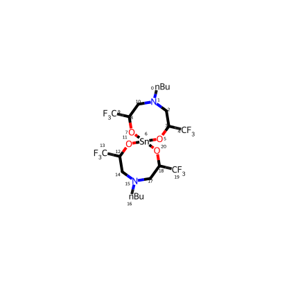 CCCCN1CC(C(F)(F)F)[O][Sn]2([O]C(C(F)(F)F)C1)[O]C(C(F)(F)F)CN(CCCC)CC(C(F)(F)F)[O]2